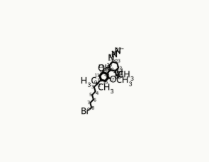 CC(C)(CCCCCCBr)c1cc(O)c2c(c1)OC(C)(C)[C@@H]1CC[C@@H](N=[N+]=[N-])C[C@@H]21